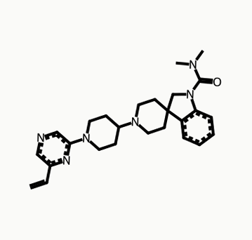 C=Cc1cncc(N2CCC(N3CCC4(CC3)CN(C(=O)N(C)C)c3ccccc34)CC2)n1